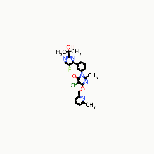 Cc1cccc(COc2nc(C)n(-c3cccc(-c4nc(C(C)(C)O)ncc4F)c3)c(=O)c2Cl)n1